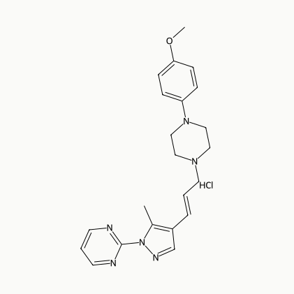 COc1ccc(N2CCN(CC=Cc3cnn(-c4ncccn4)c3C)CC2)cc1.Cl